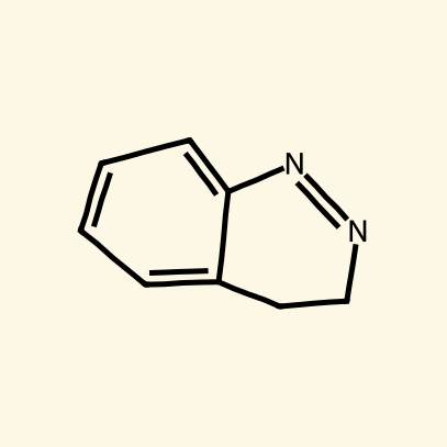 c1ccc2c(c1)CCN=N2